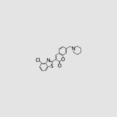 O=c1oc2cc(CN3CCCCC3)ccc2cc1-c1nc2c(Cl)cccc2s1